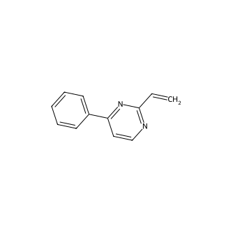 C=Cc1nccc(-c2ccccc2)n1